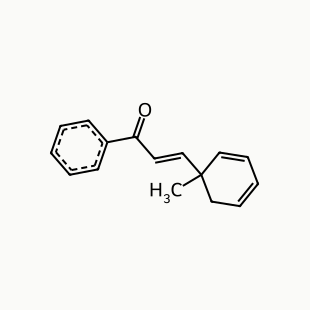 CC1(C=CC(=O)c2ccccc2)C=CC=CC1